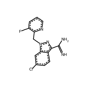 N=C(N)c1nn(Cc2ncccc2F)c2cc(Cl)ccc12